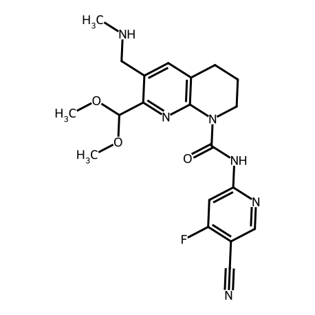 CNCc1cc2c(nc1C(OC)OC)N(C(=O)Nc1cc(F)c(C#N)cn1)CCC2